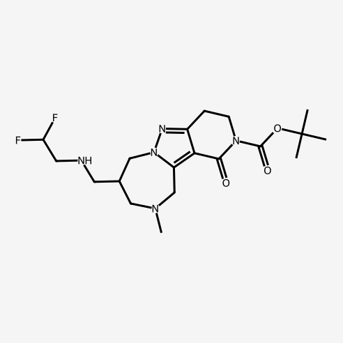 CN1Cc2c3c(nn2CC(CNCC(F)F)C1)CCN(C(=O)OC(C)(C)C)C3=O